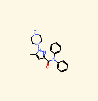 Cc1cc(C(=O)N(c2ccccc2)c2ccccc2)nn1N1CCNCC1